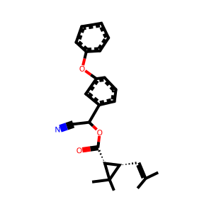 CC(C)=C[C@H]1[C@@H](C(=O)OC(C#N)c2cccc(Oc3ccccc3)c2)C1(C)C